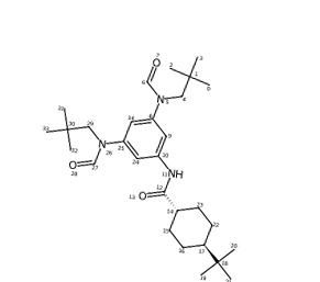 CC(C)(C)CN(C=O)c1cc(NC(=O)[C@H]2CC[C@H](C(C)(C)C)CC2)cc(N(C=O)CC(C)(C)C)c1